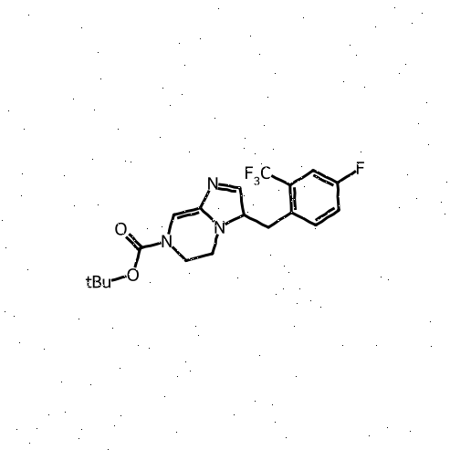 CC(C)(C)OC(=O)N1C=C2N=CC(Cc3ccc(F)cc3C(F)(F)F)N2CC1